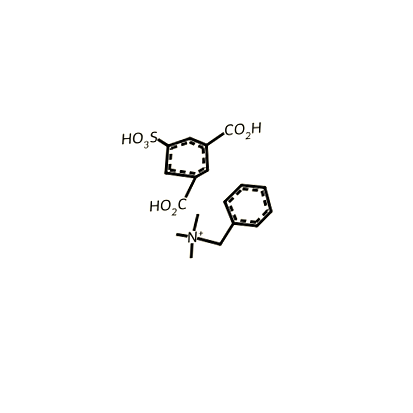 C[N+](C)(C)Cc1ccccc1.O=C(O)c1cc(C(=O)O)cc(S(=O)(=O)O)c1